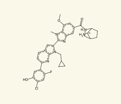 COc1cc(C(=O)N2CC3CCC2[C@@H]3N)cc2nc(-c3cc4ccc(-c5cc(O)c(Cl)cc5F)nc4n3CC3CC3)n(C)c12